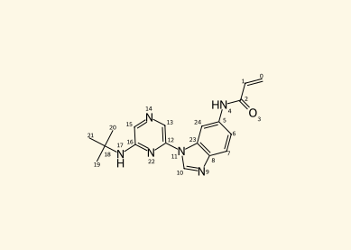 C=CC(=O)Nc1ccc2ncn(-c3cncc(NC(C)(C)C)n3)c2c1